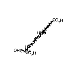 O=[C]CCC(NC(=O)CCOCCOCCOCCOCCNC(=O)CCCCCCCCCCC(=O)O)C(=O)O